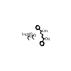 CCC(=O)O.CCC(=O)O.OC(CCCC(O)c1ccccc1)c1ccccc1